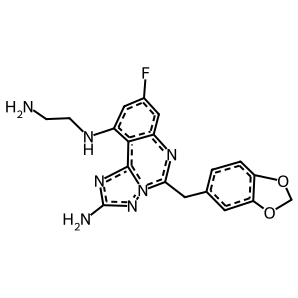 NCCNc1cc(F)cc2nc(Cc3ccc4c(c3)OCO4)n3nc(N)nc3c12